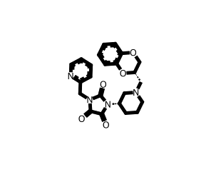 O=C1C(=O)N([C@H]2CCCN(C[C@H]3COc4ccccc4O3)C2)C(=O)N1Cc1ccccn1